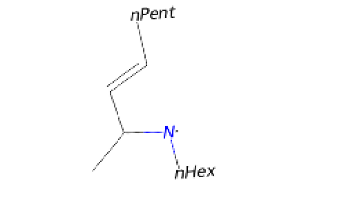 CCCCCC=CC(C)[N]CCCCCC